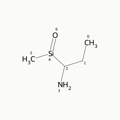 CCC(N)[Si](C)=O